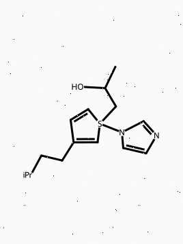 CC(C)CCC1=CS(CC(C)O)(n2ccnc2)C=C1